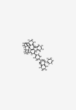 c1ccc(-c2nc(-c3ccc(-c4ccc5c6c4c4ccccc4n6-c4ccccc4C54c5ccccc5-c5ccccc54)cc3)nc3ccccc23)cc1